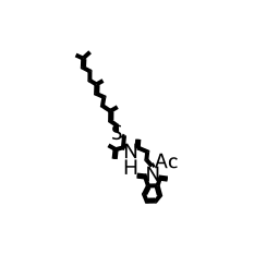 C=C(CCC(C(C)=O)n1c(=C)c2ccccc2c1=C)NC(CSC/C=C(\C)CC/C=C(\C)CCC=C(C)C)C(=C)C